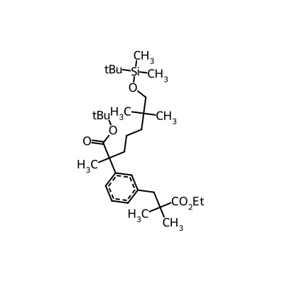 CCOC(=O)C(C)(C)Cc1cccc(C(C)(CCCC(C)(C)CO[Si](C)(C)C(C)(C)C)C(=O)OC(C)(C)C)c1